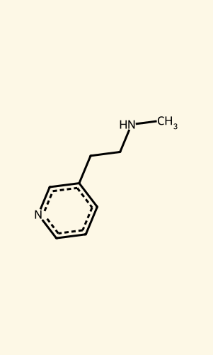 CNCCc1cccnc1